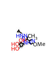 COc1ccc(-c2c(C)nc(NCC3CC3)nc2N[C@@H]2C[C@H](CO)[C@@H](O)[C@H]2O)cn1